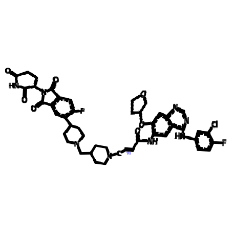 O=C(/C=C/CN1CCC(CN2CCC(c3cc4c(cc3F)C(=O)N(C3CCC(=O)NC3=O)C4=O)CC2)CC1)Nc1cc2c(Nc3ccc(F)c(Cl)c3)ncnc2cc1OC1CCOC1